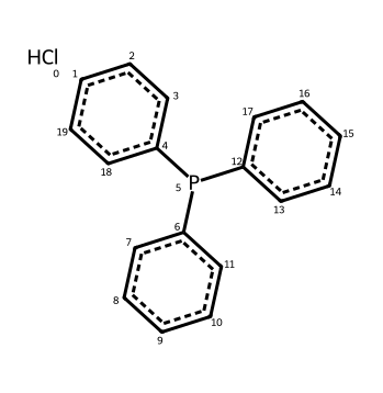 Cl.c1ccc(P(c2ccccc2)c2ccccc2)cc1